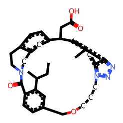 CCC(C)c1cc2ccc1C(=O)N1CCc3ccc(cc3C1)C(CC(=O)O)c1ccc3c(nnn3CCCOC2)c1C